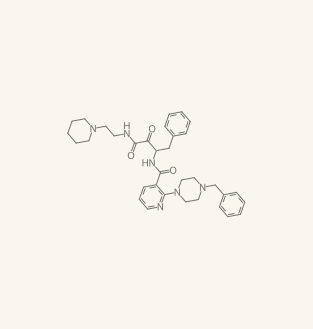 O=C(NCCN1CCCCC1)C(=O)C(Cc1ccccc1)NC(=O)c1cccnc1N1CCN(Cc2ccccc2)CC1